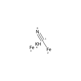 N#[C][Fe].[Fe].[KH]